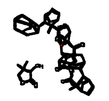 CC1(C(=O)OC(=O)/C=C(\OC(=O)C2CC3C=CC2C3)C(=O)OC(=O)C2(C)C3C=CC(C3)C2C2C3CC4CC(C3)CC2C4)C2C=CC(C2)C1C1C2CC3CC(C2)CC1C3.CC1(C)COC(=O)C1O